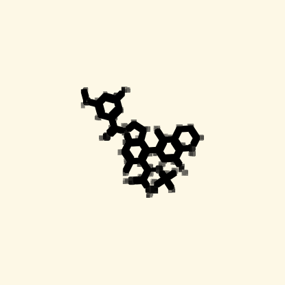 COc1cc(F)cc(C(=O)N2CCc3c2cc(C)c([C@H](OC(C)(C)C)C(=O)O)c3-c2cc(F)c3c(c2C)CCCO3)c1